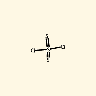 S=S(=S)(Cl)Cl